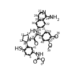 COC(=O)Nc1ccc(S)c([C@H]2CCCN2C(=O)[C@H](Nc2ccc3c(N)nccc3c2)c2ccc(OC)c(OC)c2)c1